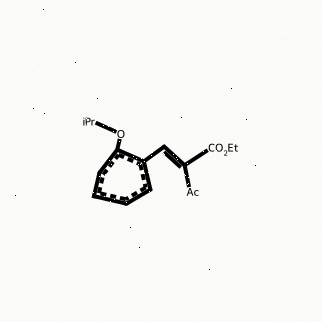 CCOC(=O)C(=Cc1ccccc1OC(C)C)C(C)=O